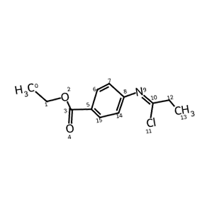 CCOC(=O)c1ccc(/N=C(\Cl)CC)cc1